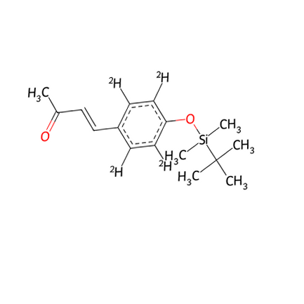 [2H]c1c([2H])c(O[Si](C)(C)C(C)(C)C)c([2H])c([2H])c1C=CC(C)=O